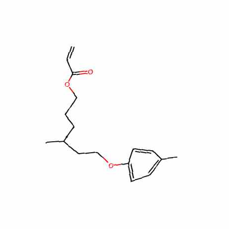 C=CC(=O)OCCCC(C)CCOc1ccc(C)cc1